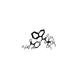 COC(=O)C1CN(C(C(=O)OC(C)(C)C)c2cccc3ccccc23)CCN1